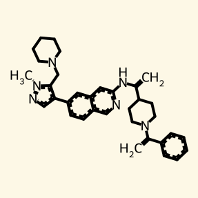 C=C(Nc1cc2cc(-c3cnn(C)c3CN3CCCCC3)ccc2cn1)C1CCN(C(=C)c2ccccc2)CC1